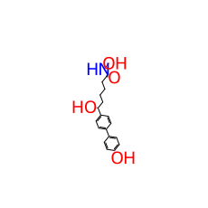 O=C(CCCCC(O)c1ccc(-c2ccc(O)cc2)cc1)NO